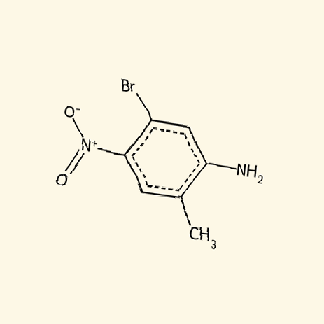 Cc1cc([N+](=O)[O-])c(Br)cc1N